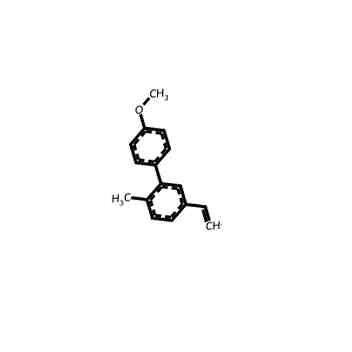 [CH]=Cc1ccc(C)c(-c2ccc(OC)cc2)c1